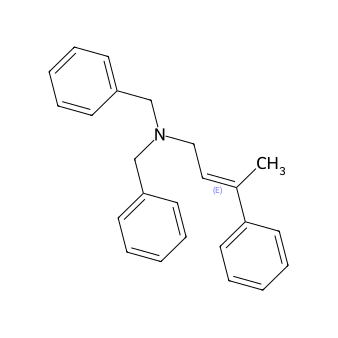 C/C(=C\CN(Cc1ccccc1)Cc1ccccc1)c1ccccc1